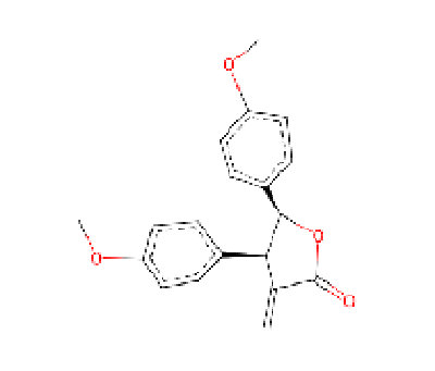 C=C1C(=O)O[C@H](c2ccc(OC)cc2)[C@@H]1c1ccc(OC)cc1